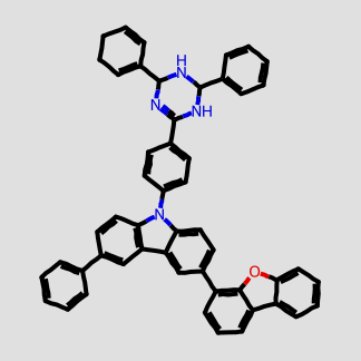 C1=CC(C2N=C(c3ccc(-n4c5ccc(-c6ccccc6)cc5c5cc(-c6cccc7c6oc6ccccc67)ccc54)cc3)NC(c3ccccc3)N2)=CCC1